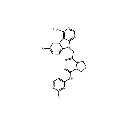 Nc1ncnc2c1c1cc(C(F)(F)F)ccc1n2CC(=O)N1CCSC1C(=O)Nc1cccc(Br)n1